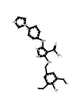 CCc1cc(CNc2[nH]nc(Nc3ccc(-n4ccnc4)cc3)c2C(N)=O)cc(CC)c1O